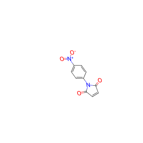 O=C1C=CC(=O)N1c1ccc([N+](=O)[O-])cc1